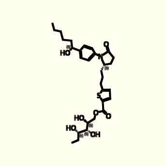 CCCCC[C@H](O)c1ccc(N2C(=O)CC[C@@H]2CCCc2ccc(C(=O)OC[C@H](O)[C@H](O)[C@@H](O)CC)s2)cc1